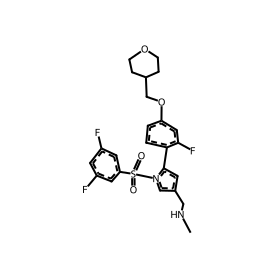 CNCc1cc(-c2ccc(OCC3CCOCC3)cc2F)n(S(=O)(=O)c2cc(F)cc(F)c2)c1